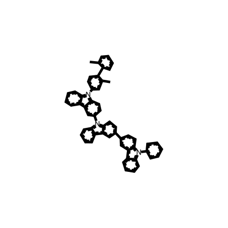 Cc1ccccc1-c1ccc(-n2c3ccccc3c3cc(-n4c5ccccc5c5cc(-c6ccc7c(c6)c6ccccc6n7-c6ccccc6)ccc54)ccc32)cc1C